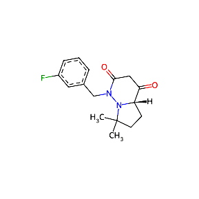 CC1(C)CC[C@H]2C(=O)CC(=O)N(Cc3cccc(F)c3)N21